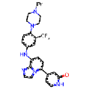 CC(C)N1CCN(c2ccc(Nc3ccc(-c4cc[nH]c(=O)c4)n4ccnc34)cc2C(F)(F)F)CC1